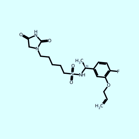 C=CCOc1cc([C@H](C)NS(=O)(=O)CCCCCN2CC(=O)NC2=O)ccc1F